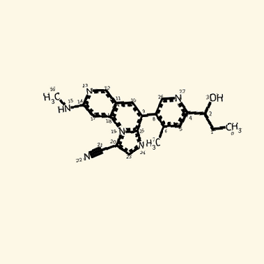 CCC(O)c1cc(C)c(-c2cc3cnc(NC)cc3n3c(C#N)cnc23)cn1